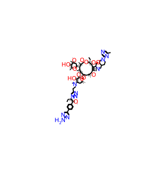 CC[C@H]([C@H](OC)c1ccc(-c2cnc(N)nc2)cc1)n1cc(CCN(C)[C@H]2C[C@@H](C)O[C@@H](O[C@@H]3[C@@H](C)C([C@H]4C[C@@](C)(OC)[C@@H](O)[C@H](C)O4)[C@@H](C)C(=O)O[C@H](CC)[C@@]4(C)OC(=O)C(/N=C\C5CCN(c6cncc(C)n6)CC5)[C@@H]4[C@@H](C)C(=O)[C@H](C)C[C@@]3(C)OC)[C@@H]2O)nn1